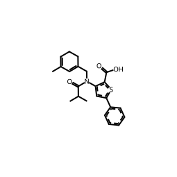 CC1=CCCC(CN(C(=O)C(C)C)c2cc(-c3ccccc3)sc2C(=O)O)=C1